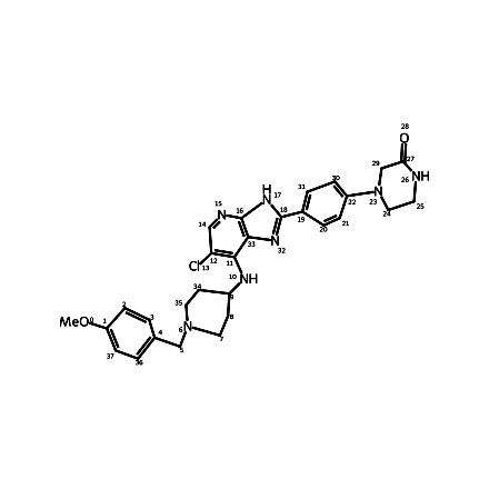 COc1ccc(CN2CCC(Nc3c(Cl)cnc4[nH]c(-c5ccc(N6CCNC(=O)C6)cc5)nc34)CC2)cc1